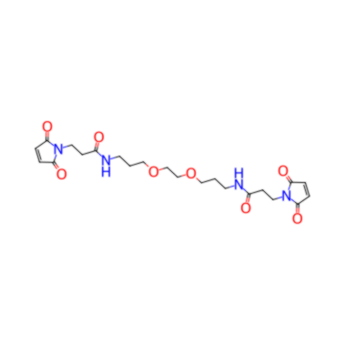 O=C(CCN1C(=O)C=CC1=O)NCCCOCCOCCCNC(=O)CCN1C(=O)C=CC1=O